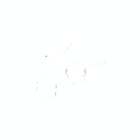 C#Cc1ccc(C2CCNCC2)cc1.CC(C)(C)OC=O